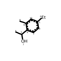 CCc1ccc(C(C)O)c(C)c1